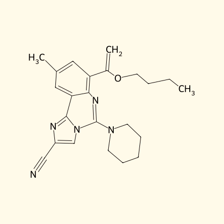 C=C(OCCCC)c1cc(C)cc2c1nc(N1CCCCC1)n1cc(C#N)nc21